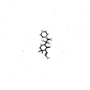 C=C1C(/C=C/C(C)=O)C(C)(C)CCC1C(F)(F)C(=O)N1CCOCC1